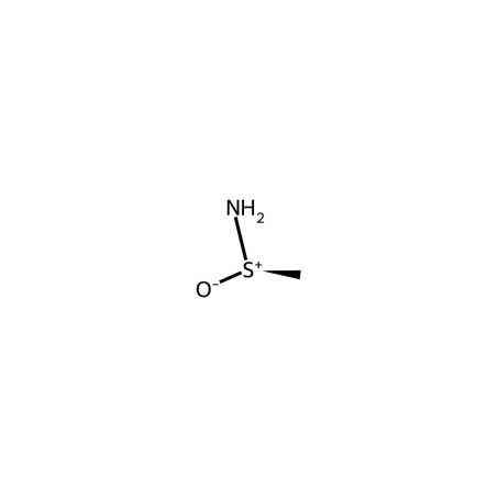 C[S@+](N)[O-]